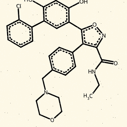 CCNC(=O)c1noc(-c2cc(-c3ccccc3Cl)c(O)cc2O)c1-c1ccc(CN2CCOCC2)cc1